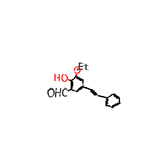 CCOc1cc(C#Cc2ccccc2)cc(C=O)c1O